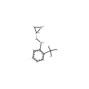 CC(C)(C)c1ccccc1OC[C@@H]1CO1